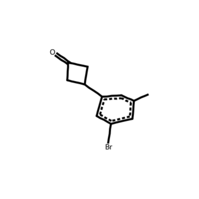 Cc1cc(Br)cc(C2CC(=O)C2)c1